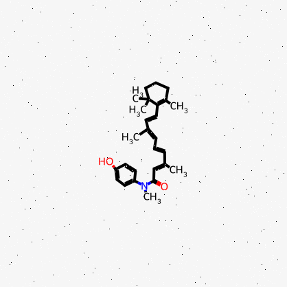 CC(C=CC1=C(C)CCCC1(C)C)=CC=CC(C)=CC(=O)N(C)c1ccc(O)cc1